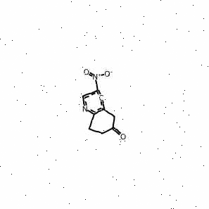 O=C1CCc2ncc([N+](=O)[O-])cc2C1